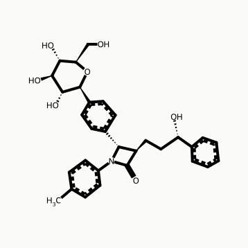 Cc1ccc(N2C(=O)[C@H](CC[C@H](O)c3ccccc3)[C@H]2c2ccc([C@@H]3O[C@H](CO)[C@@H](O)[C@H](O)[C@H]3O)cc2)cc1